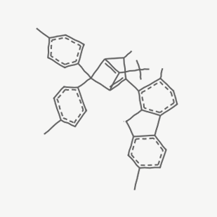 Cc1ccc(C2(c3ccc(C)cc3)C3=C(c4c(C)ccc5c4[CH]c4cc(C)ccc4-5)C(C)C2=C3C(C)(C)C)cc1